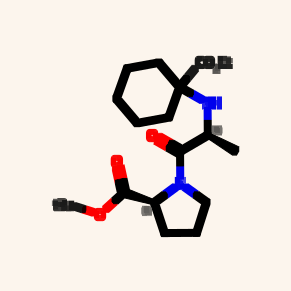 CCOC(=O)C1(N[C@@H](C)C(=O)N2CCC[C@H]2C(=O)OC(C)(C)C)CCCCC1